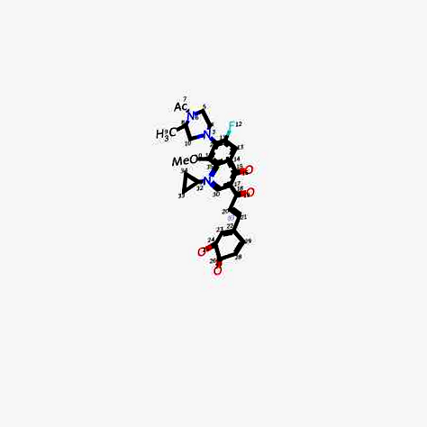 COc1c(N2CCN(C(C)=O)C(C)C2)c(F)cc2c(=O)c(C(=O)/C=C/C3=CC(=O)C(=O)C=C3)cn(C3CC3)c12